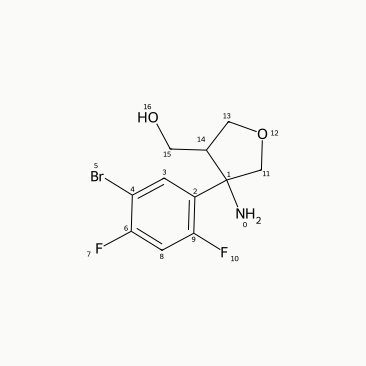 NC1(c2cc(Br)c(F)cc2F)COCC1CO